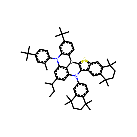 CCC(C)c1cc2c3c(c1)N(c1ccc4c(c1)C(C)(C)CCC4(C)C)c1c(sc4cc5c(cc14)C(C)(C)CCC5(C)C)B3c1ccc(C(C)(C)C)cc1N2c1ccc(C(C)(C)C)cc1C